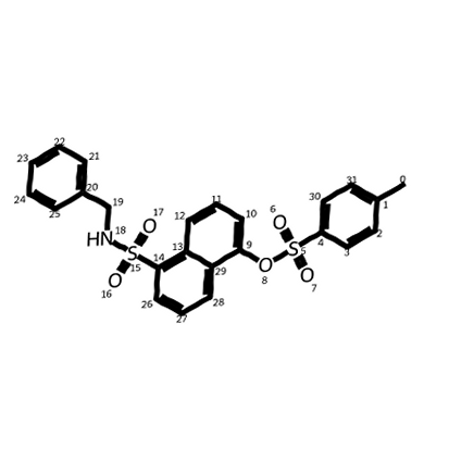 Cc1ccc(S(=O)(=O)Oc2cccc3c(S(=O)(=O)NCc4ccccc4)cccc23)cc1